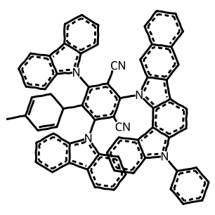 CC1=CCC(c2c(-n3c4ccccc4c4ccccc43)c(C#N)c(-n3c4cc5ccccc5cc4c4ccc5c(c6ccccc6n5-c5ccccc5)c43)c(C#N)c2-n2c3ccccc3c3ccccc32)C=C1